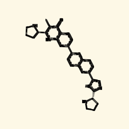 Cc1c(C2CCCN2)[nH]c2cc(-c3ccc4cc(-c5cnc([C@@H]6CCCN6)[nH]5)ccc4c3)ccc2c1=O